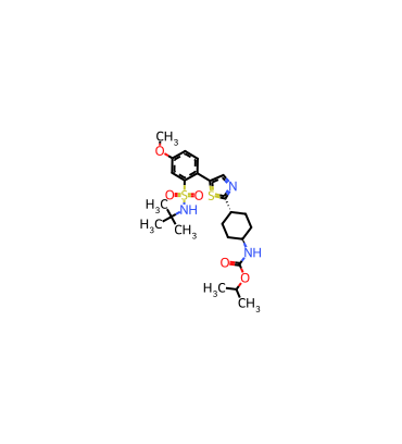 COc1ccc(-c2cnc([C@H]3CC[C@H](NC(=O)OC(C)C)CC3)s2)c(S(=O)(=O)NC(C)(C)C)c1